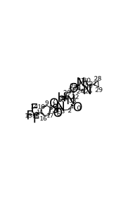 O=C1CCN(S(=O)(=O)c2ccc(C(F)(F)F)cc2)C[C@H]2C[C@@H](Oc3cnc(C4CC4)cn3)CN12